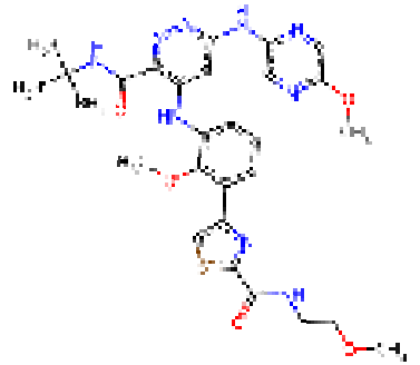 BC(B)(B)NC(=O)c1nnc(Nc2cnc(OC)cn2)cc1Nc1cccc(-c2csc(C(=O)NCCOC)n2)c1OC